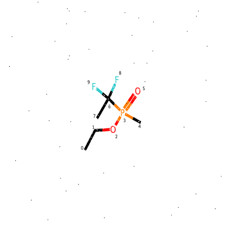 CCOP(C)(=O)C(C)(F)F